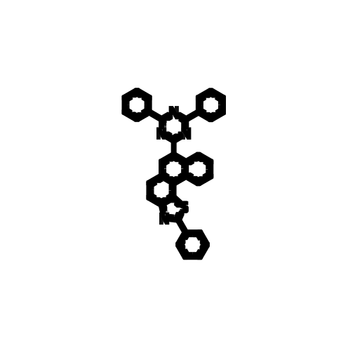 c1ccc(-c2nc(-c3ccccc3)nc(-c3cc4ccc5nc(-c6ccccc6)sc5c4c4ccccc34)n2)cc1